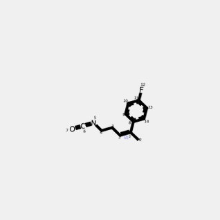 C/C(=C/CCN=C=O)c1ccc(F)cc1